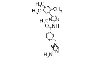 Cc1cc(C)c(-c2cnc(NC(=O)c3cccc(Cn4cnc(N)n4)c3)n2C)cc1C